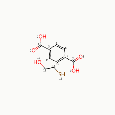 O=C(O)c1ccc(C(=O)O)cc1.OCCS